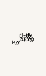 CCOc1cc(C(O)=C2C(=O)Nc3cc(Cl)c(-c4ccc(C5CC(O)C5)cc4)cc32)on1